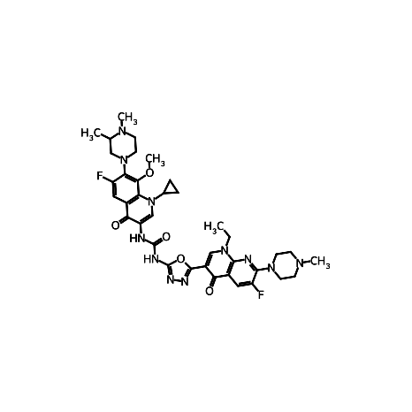 CCn1cc(-c2nnc(NC(=O)Nc3cn(C4CC4)c4c(OC)c(N5CCN(C)C(C)C5)c(F)cc4c3=O)o2)c(=O)c2cc(F)c(N3CCN(C)CC3)nc21